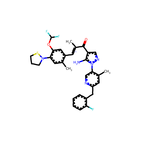 C/C(=C\c1cc(OC(F)F)c(N2CCCS2)cc1C)C(=O)c1cnn(-c2cnc(Cc3ccccc3F)cc2C)c1N